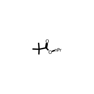 [CH2]CCOC(=O)C(C)(C)C